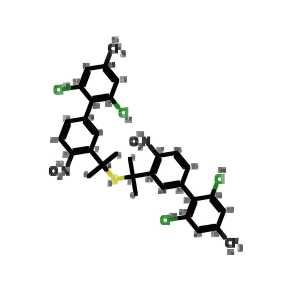 CC(C)(SC(C)(C)c1cc(-c2c(Cl)cc(C(F)(F)F)cc2Cl)ccc1[N+](=O)[O-])c1cc(-c2c(Cl)cc(C(F)(F)F)cc2Cl)ccc1[N+](=O)[O-]